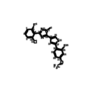 Cn1nc(-c2c(F)cccc2Cl)nc1-c1csc(-c2ccc(OC(F)(F)F)cc2F)c1